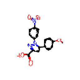 COc1ccc(-c2cc(C(=O)O)nn2-c2ccc([N+](=O)[O-])cc2)cc1